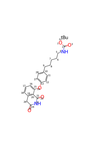 CC(C)(C)OC(=O)NCCCCCc1ccc(Oc2cccc3c2C(=O)NC(=O)C3)cc1